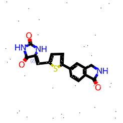 O=C1NC(=O)/C(=C/c2ccc(-c3ccc4c(c3)CNC4=O)s2)N1